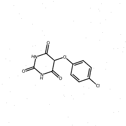 O=C1NC(=O)C(Oc2ccc(Cl)cc2)C(=O)N1